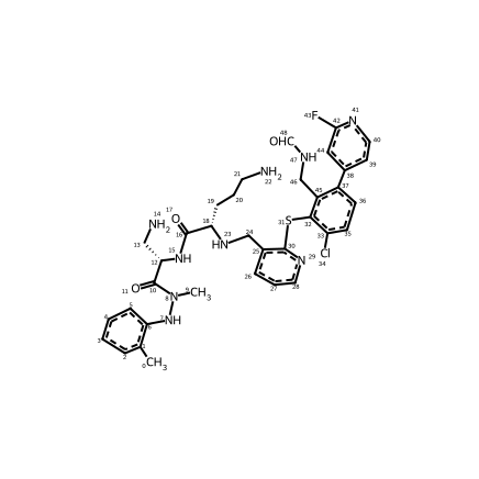 Cc1ccccc1NN(C)C(=O)[C@H](CN)NC(=O)[C@H](CCCN)NCc1cccnc1Sc1c(Cl)ccc(-c2ccnc(F)c2)c1CNC=O